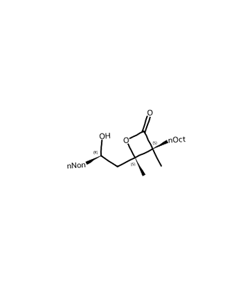 CCCCCCCCC[C@@H](O)C[C@]1(C)OC(=O)[C@@]1(C)CCCCCCCC